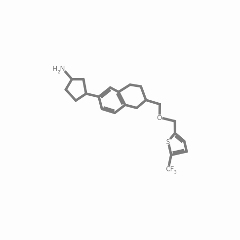 NC1CCC(c2ccc3c(c2)CCC(COCc2ccc(C(F)(F)F)s2)C3)C1